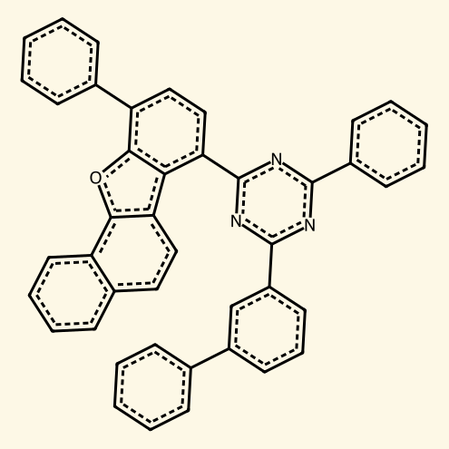 c1ccc(-c2cccc(-c3nc(-c4ccccc4)nc(-c4ccc(-c5ccccc5)c5oc6c7ccccc7ccc6c45)n3)c2)cc1